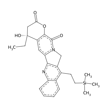 CC[C@@]1(O)CC(=O)Oc2c1cc1n(c2=O)Cc2c-1nc1ccccc1c2CC[Si](C)(C)C